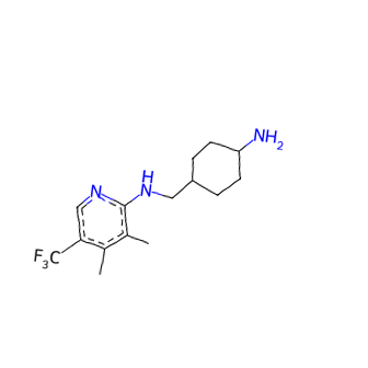 Cc1c(C(F)(F)F)cnc(NCC2CCC(N)CC2)c1C